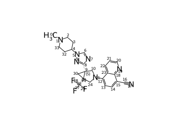 CN1CCC(n2cnc([C@]34CN(c5ccc(C#N)c6ncccc56)C[C@@]3(C(F)(F)F)C4)n2)CC1